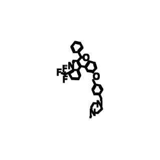 CN1CCN(Cc2ccc(COc3cccc(-c4c(C(=O)c5ccccc5)cnc5c(C(F)(F)F)cccc45)c3)cc2)CC1